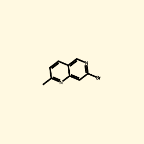 Cc1ccc2cnc(Br)cc2n1